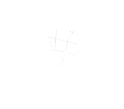 CO[Si](OC)(OC)C(C)(N)C(C)(C)C